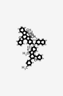 Cc1ccc(-c2cc3c(c4c2oc2ccccc24)-c2ccc(N(c4ccc5c(c4)C(C)(C)c4c6c(c7oc8ccccc8c7c4-5)-c4ccccc4C6(C)C)c4ccc5ccccc5c4)cc2C3(C)C)cc1